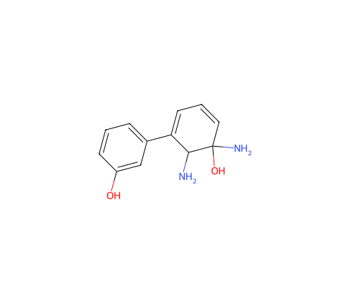 NC1C(c2cccc(O)c2)=CC=CC1(N)O